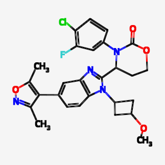 COC1CC(n2c(C3CCOC(=O)N3c3ccc(Cl)c(F)c3)nc3cc(-c4c(C)noc4C)ccc32)C1